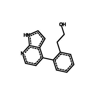 OCCc1ccccc1-c1ccnc2[nH]ccc12